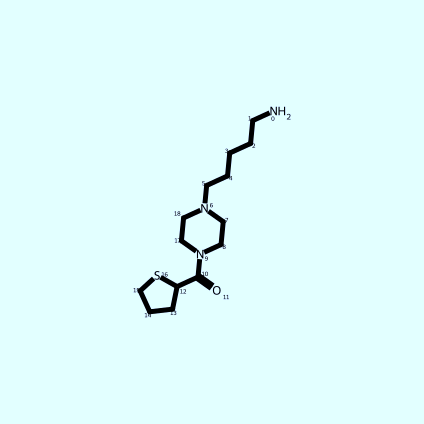 NCCCCCN1CCN(C(=O)C2CCCS2)CC1